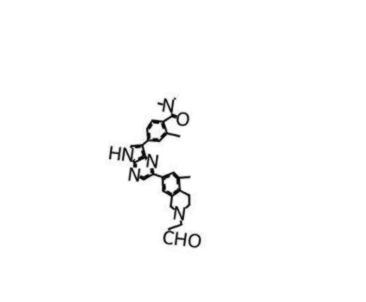 Cc1cc(-c2c[nH]c3ncc(-c4cc(C)c5c(c4)CN(CCC=O)CC5)nc23)ccc1C(=O)N(C)C